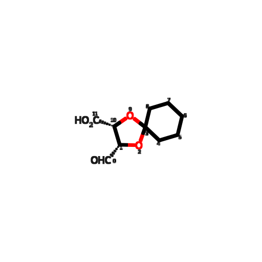 O=C[C@H]1OC2(CCCCC2)O[C@H]1C(=O)O